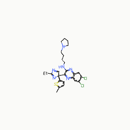 CCC1=NC(c2ccc(C)s2)(c2nc3cc(Cl)c(Cl)cc3nc2NCCCCN2CCCC2)C=N1